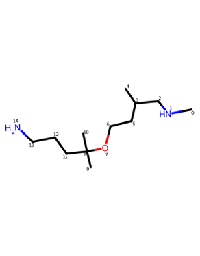 CNCC(C)CCOC(C)(C)CCCN